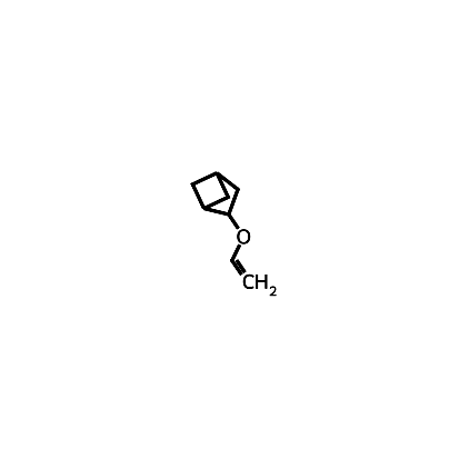 C=COC1CC2CC1C2